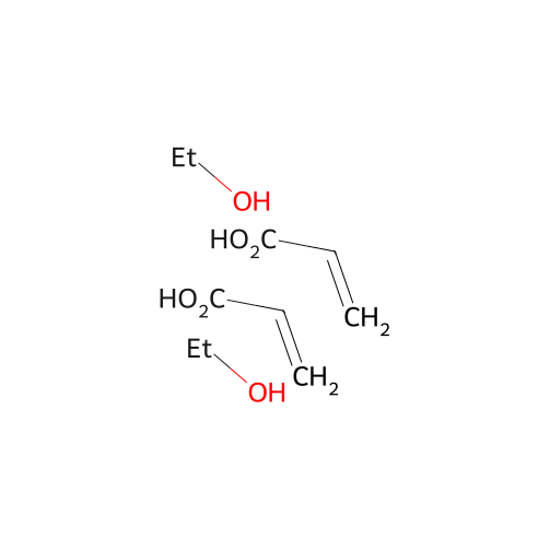 C=CC(=O)O.C=CC(=O)O.CCO.CCO